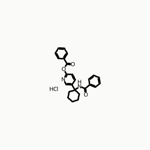 Cl.O=C(NC1(c2ccc(OC(=O)c3ccccc3)nc2)CCCCC1)c1ccccc1